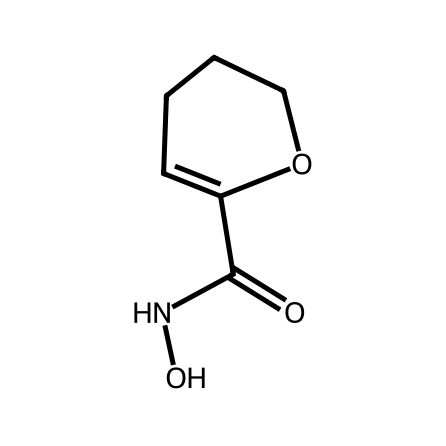 O=C(NO)C1=CCCCO1